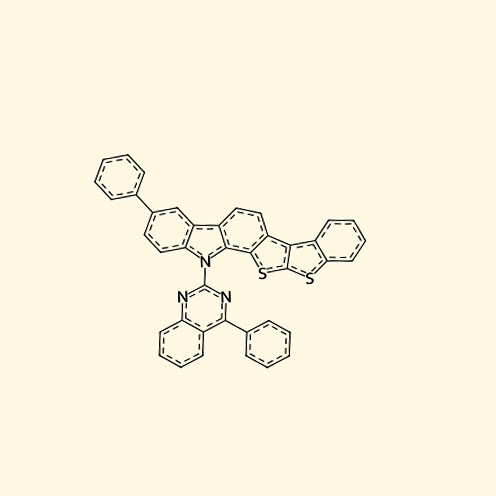 c1ccc(-c2ccc3c(c2)c2ccc4c(sc5sc6ccccc6c54)c2n3-c2nc(-c3ccccc3)c3ccccc3n2)cc1